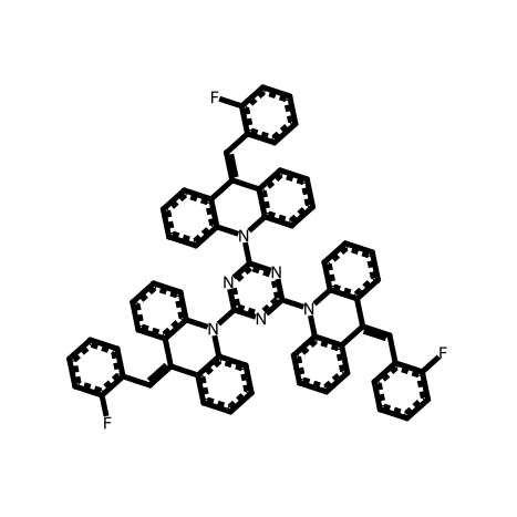 Fc1ccccc1C=C1c2ccccc2N(c2nc(N3c4ccccc4C(=Cc4ccccc4F)c4ccccc43)nc(N3c4ccccc4C(=Cc4ccccc4F)c4ccccc43)n2)c2ccccc21